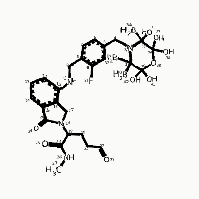 BC1(B)N(Cc2ccc(CNc3cccc4c3CN(C(CCC=O)C(=O)NC)C4=O)c(F)c2)C(B)(O)C(O)(O)OC1(O)O